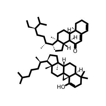 CC(C)CCC[C@@H](C)[C@H]1CC[C@@]2(C)[C@@H]3CC[C@H]4C(C)(C)CC=C(O)[C@@]45C[C@@]35CC[C@]12C.CC[C@H](CC[C@@H](C)[C@H]1CC[C@H]2[C@@H]3C(=O)C=C4C=CCC[C@]4(C)[C@H]3CC[C@]12C)C(C)C